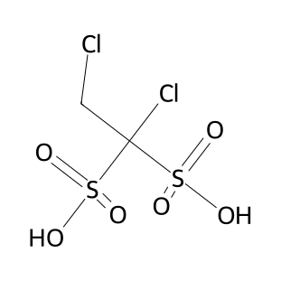 O=S(=O)(O)C(Cl)(CCl)S(=O)(=O)O